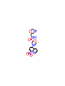 C[C@@H]1CN(c2ccc([N+](=O)[O-])c3ncccc23)C[C@H](C(=O)NCC2CN(C)CCO2)O1